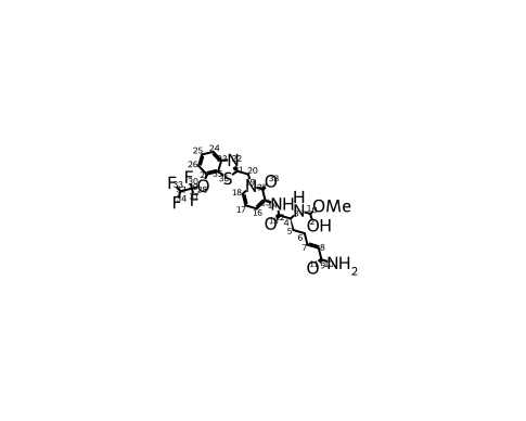 COC(O)N[C@@H](CC/C=C/C(N)=O)C(=O)Nc1cccn(Cc2nc3cccc(OC(F)(F)C(F)F)c3s2)c1=O